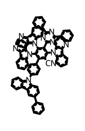 N#Cc1c(-c2ccc(-n3c4ccccc4c4cc(-c5ccccc5)ccc43)cc2)c(-n2c3ccccc3c3ncccc32)c(-n2c3ccccc3c3ncccc32)c(-c2nc(-c3ccccc3)nc(-c3ccccc3)n2)c1-n1c2ccccc2c2ncccc21